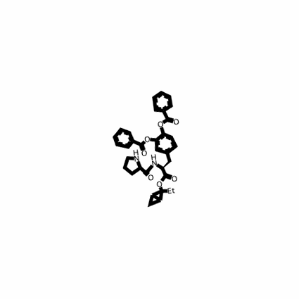 CCC1(OC(=O)[C@H](Cc2ccc(OC(=O)c3ccccc3)c(OC(=O)c3ccccc3)c2)NC(=O)C2CCCN2)C2CC21